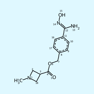 CN1CC(C(=O)OCc2ccc(/C(N)=N/O)cc2)C1